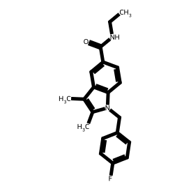 CCNC(=O)c1ccc2c(c1)c(C)c(C)n2Cc1ccc(F)cc1